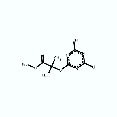 Cc1nc(Cl)nc(OC(C)(C)C(=O)OC(C)(C)C)n1